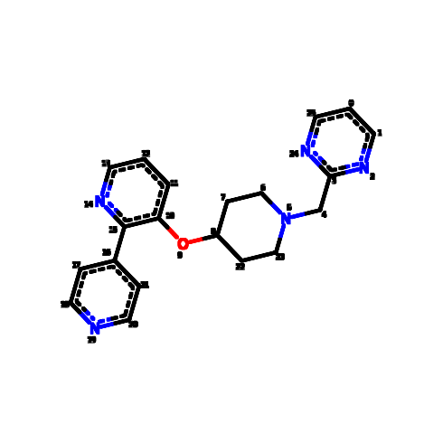 c1cnc(CN2CCC(Oc3cccnc3-c3ccncc3)CC2)nc1